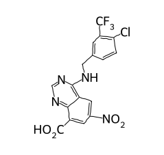 O=C(O)c1cc([N+](=O)[O-])cc2c(NCc3ccc(Cl)c(C(F)(F)F)c3)ncnc12